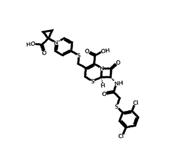 O=C(CSc1cc(Cl)ccc1Cl)N[C@H]1C(=O)N2C(C(=O)O)=C(CSc3cc[n+](C4(C(=O)O)CC4)cc3)CS[C@H]12